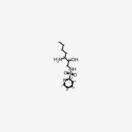 CCCCC(N)C(O)CNS(=O)(=O)c1ccccn1